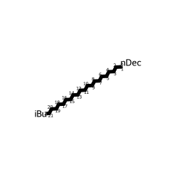 [CH2]CCCCCCCCCCCCCCCCCCCCCCCCCCCCCCC(C)CC